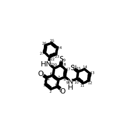 O=C1C=CC(=O)C2=C1C(NC1=CC=CCC1=S)=CC(=S)C2Nc1ccccc1